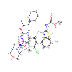 CC(CN1CCCCC1)Oc1nc(N2CC3COCC(C2)N3C(=O)OC(C)(C)C)c2cc(Cl)c(-c3ccc(F)c4sc(NC(=O)OC(C)(C)C)nc34)c(F)c2n1